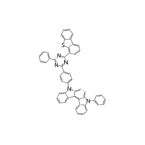 c1ccc(-c2nc(-c3ccc(-n4c5ccccc5c5c6c7ccccc7n(-c7ccccc7)c6ccc54)cc3)nc(-c3cccc4c3sc3ccccc34)n2)cc1